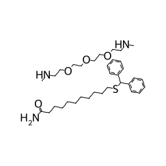 CNCCOCCOCCOCCNC.NC(=O)CCCCCCCCCCSC(c1ccccc1)c1ccccc1